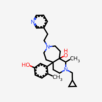 Cc1ccc(O)cc1C12CCN(CCc3cccnc3)CCC1(O)C(C)N(CC1CC1)CC2